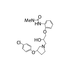 CNC(=O)Nc1ccccc1OCC(O)CN1CCC(Oc2ccc(Cl)cc2)C1